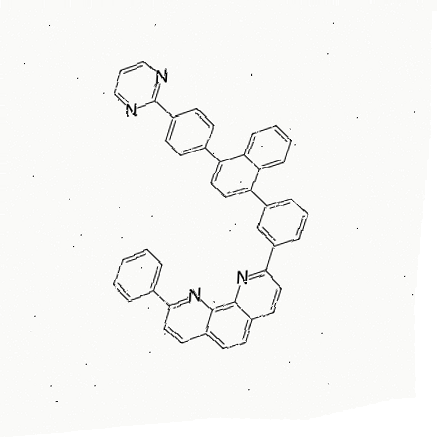 c1ccc(-c2ccc3ccc4ccc(-c5cccc(-c6ccc(-c7ccc(-c8ncccn8)cc7)c7ccccc67)c5)nc4c3n2)cc1